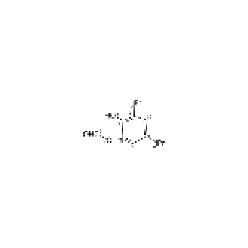 CC(C)c1cc(OC=O)c(O)c(C(C)C)c1